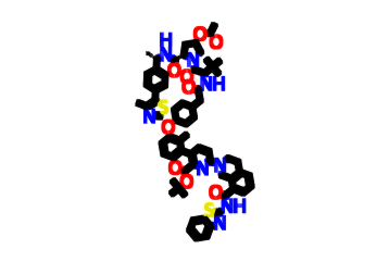 CC(=O)O[C@@H]1C[C@@H](C(=O)N[C@@H](C)c2ccc(-c3scnc3C)cc2)N(C(=O)C(NC(=O)CC2CCC(Oc3cccc(-c4ccc(N5CCc6cccc(C(=O)Nc7nc8ccccc8s7)c6C5)nc4C(=O)OC(C)(C)C)c3C)CC2)C(C)(C)C)C1